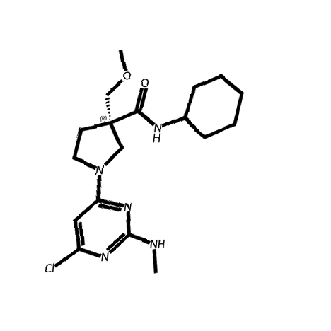 CNc1nc(Cl)cc(N2CC[C@@](COC)(C(=O)NC3CCCCC3)C2)n1